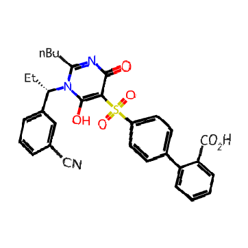 CCCCc1nc(=O)c(S(=O)(=O)c2ccc(-c3ccccc3C(=O)O)cc2)c(O)n1[C@@H](CC)c1cccc(C#N)c1